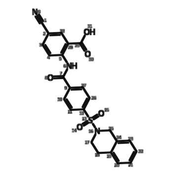 N#Cc1ccc(NC(=O)c2ccc(S(=O)(=O)N3CCc4ccccc4C3)cc2)c(C(=O)O)c1